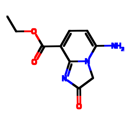 CCOC(=O)C1=CC=C(N)N2CC(=O)N=C12